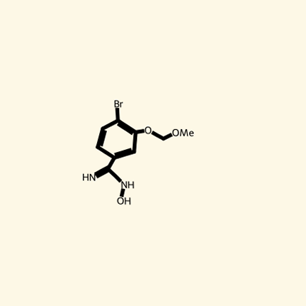 COCOc1cc(C(=N)NO)ccc1Br